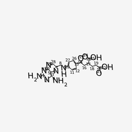 Nc1nc(N)c2nc(CNc3ccc(C(=O)CC(CCC(=O)O)C(=O)O)cc3)cnc2n1